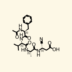 CC(=O)N[C@@H](Cc1ccccc1)C(=O)N[C@H](C(=O)N[C@@H](C)C(=O)N[C@H](C#N)CC(=O)O)C(C)C